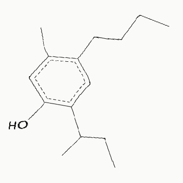 CCCCc1cc(C(C)CC)c(O)cc1C